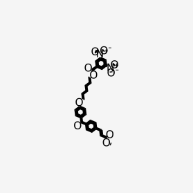 COC(=O)/C=C/c1ccc(C(=O)c2ccc(OCCCCCCOC(=O)c3cc([N+](=O)[O-])cc([N+](=O)[O-])c3)cc2)cc1